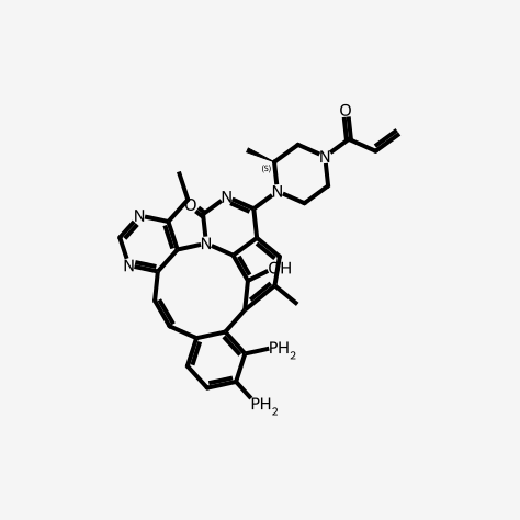 C=CC(=O)N1CCN(c2nc(=O)n3c4c(CC)ncnc4ccc4ccc(P)c(P)c4c4c(C)cc2c3c4O)[C@@H](C)C1